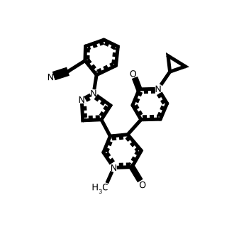 Cn1cc(-c2cnn(-c3ccccc3C#N)c2)c(-c2ccn(C3CC3)c(=O)c2)cc1=O